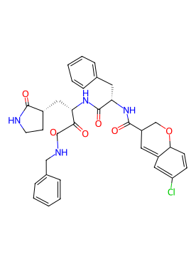 O=C(NCc1ccccc1)C(=O)[C@H](C[C@@H]1CCNC1=O)NC(=O)[C@H](Cc1ccccc1)NC(=O)C1C=C2C=C(Cl)C=CC2OC1